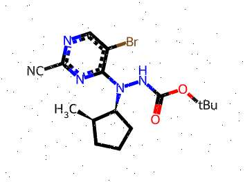 C[C@@H]1CCC[C@@H]1N(NC(=O)OC(C)(C)C)c1nc(C#N)ncc1Br